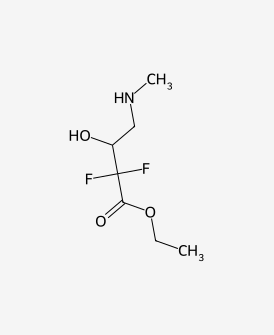 CCOC(=O)C(F)(F)C(O)CNC